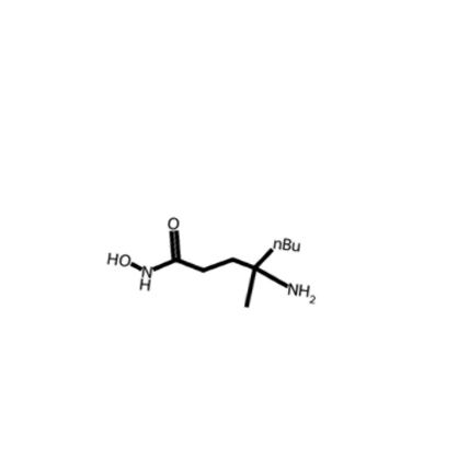 CCCCC(C)(N)CCC(=O)NO